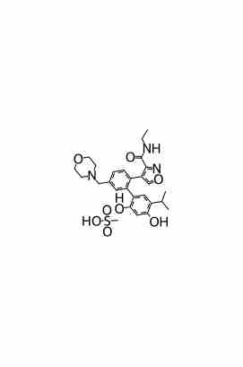 CCNC(=O)c1nocc1-c1ccc(CN2CCOCC2)cc1-c1cc(C(C)C)c(O)cc1O.CS(=O)(=O)O